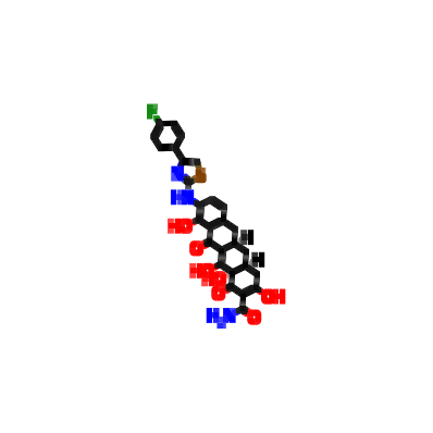 NC(=O)C1=C(O)C[C@@H]2C[C@@H]3Cc4ccc(Nc5nc(-c6ccc(F)cc6)cs5)c(O)c4C(=O)C3=C(O)[C@]2(O)C1=O